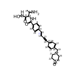 C[C@@H](N)[C@H](NC(=O)c1ccc(/C=C/C#Cc2ccc(CN3CC[S+]([O-])CC3)cc2)cc1)C(=O)NO